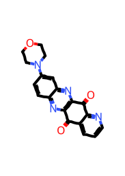 O=C1c2cccnc2C(=O)c2nc3cc(N4CCOCC4)ccc3nc21